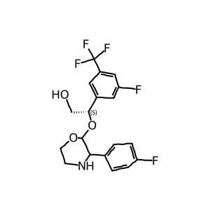 OC[C@@H](OC1OCCNC1c1ccc(F)cc1)c1cc(F)cc(C(F)(F)F)c1